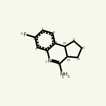 NC1=Nc2cc(F)ccc2C2CCCC12